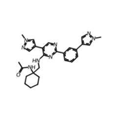 CC(=O)NC1(CNc2nc(-c3cccc(-c4cnn(C)c4)c3)ncc2-c2cnn(C)c2)CCCCC1